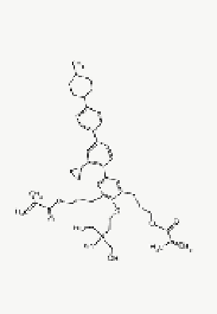 C=C(C)C(=O)OCCCc1cc(-c2ccc(-c3ccc(C4CCC(C)CC4)cc3)cc2C2CC2)cc(CCCOC(=O)C(=C)C)c1OCCC(CO)(CO)CCC